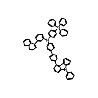 c1ccc(-n2c3ccccc3c3c(-c4ccc(-c5ccc(N(c6ccc([Si](c7ccccc7)(c7ccccc7)c7ccccc7)cc6)c6cccc(-c7cccc8ccccc78)c6)cc5)cc4)cccc32)cc1